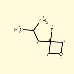 CC(C)CC1(F)COC1